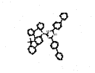 CC1(C)c2ccccc2-c2ccc3c(c21)-c1ccccc1-c1ccccc1N3C1=NC(c2ccc(-c3ccccc3)cc2)NC(c2ccc(-c3ccccc3)cc2)N1